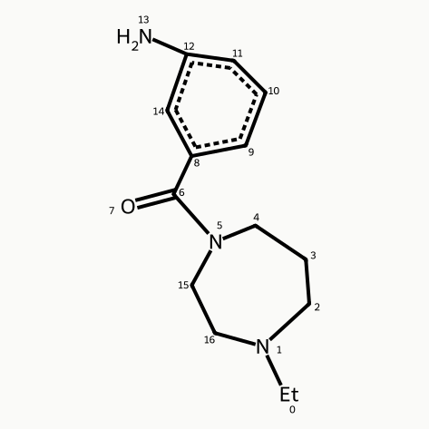 CCN1CCCN(C(=O)c2cccc(N)c2)CC1